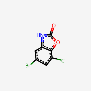 O=c1[nH]c2cc(Br)cc(Cl)c2o1